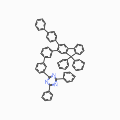 c1ccc(-c2ccc(-c3cc4c(cc3-c3cccc(-c5cccc(-c6nc(-c7ccccc7)nc(-c7ccccc7)n6)c5)c3)C(c3ccccc3)(c3ccccc3)c3ccccc3-4)cc2)cc1